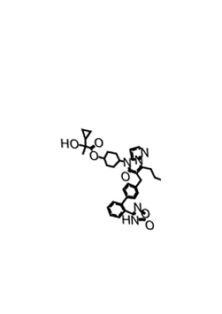 CCCc1c(Cc2ccc(-c3ccccc3-c3noc(=O)[nH]3)cc2)c(=O)n(C2CCC(OC(=O)C(C)(O)C3CC3)CC2)c2ccnn12